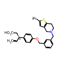 C=C[C@@H](CC(=O)O)c1ccc(OCc2cccc(CN3CCc4sc(C(C)C)cc4C3)c2)cc1